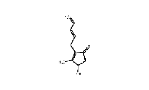 C=CC=CCC1=C(C)C(O)CC1=O